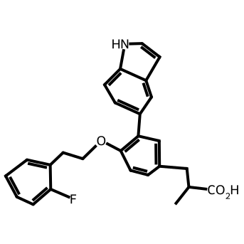 CC(Cc1ccc(OCCc2ccccc2F)c(-c2ccc3[nH]ccc3c2)c1)C(=O)O